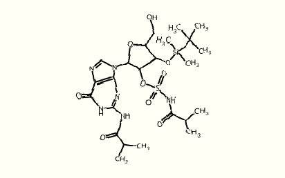 CC(C)C(=O)Nc1nc2c(ncn2C2OC(CO)C(O[Si](C)(C)C(C)(C)C)C2OS(=O)(=O)NC(=O)C(C)C)c(=O)[nH]1